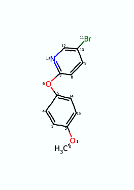 COc1ccc(Oc2ccc(Br)cn2)cc1